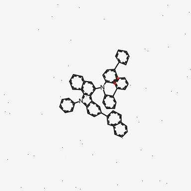 c1ccc(-c2ccc(N(c3ccccc3-c3ccccc3)c3cc4ccccc4c4c3c3cc(-c5ccc6ccccc6c5)ccc3n4-c3ccccc3)cc2)cc1